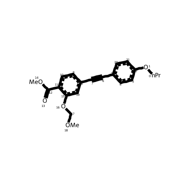 CCCOc1ccc(C#Cc2ccc(C(=O)OC)c(OCOC)c2)cc1